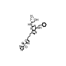 CC[C@H](CO)Nc1nc(NCc2ccccc2)c2ncn(CCCc3cnc(S(=O)(=O)n4cncn4)o3)c2n1